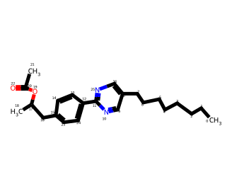 CCCCCCCCc1cnc(-c2ccc(CC(C)OC(C)=O)cc2)nc1